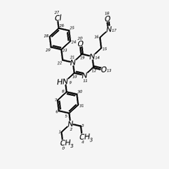 CCN(CC)c1ccc(Nc2nc(=O)n(CCN=O)c(=O)n2Cc2ccc(Cl)cc2)cc1